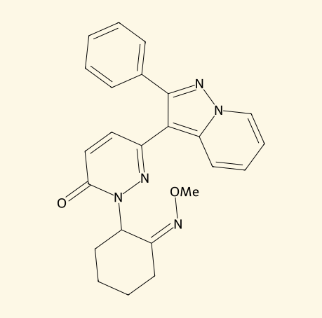 CO/N=C1/CCCCC1n1nc(-c2c(-c3ccccc3)nn3ccccc23)ccc1=O